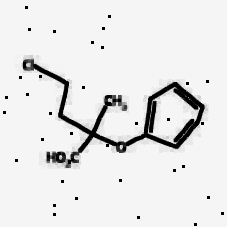 CC(CCCl)(Oc1ccccc1)C(=O)O